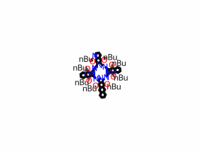 CCCCOc1c2c(c(OCCCC)c3cc4ccccc4cc13)-c1nc-2nc2[nH]c(nc3nc(nc4[nH]c(n1)c1c(OCCCC)c5ccccc5c(OCCCC)c41)-c1c-3c(OCCCC)c3cccnc3c1OCCCC)c1c(OCCCC)c3ccccc3c(OCCCC)c21